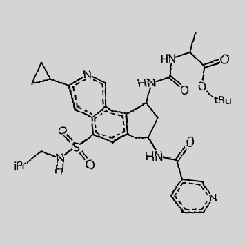 CC(C)CNS(=O)(=O)c1cc2c(c3cnc(C4CC4)cc13)C(NC(=O)NC(C)C(=O)OC(C)(C)C)CC2NC(=O)c1cccnc1